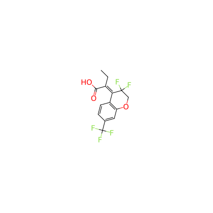 CCC(C(=O)O)=C1c2ccc(C(F)(F)F)cc2OCC1(F)F